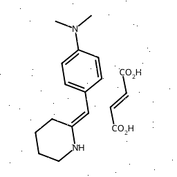 CN(C)c1ccc(C=C2CCCCN2)cc1.O=C(O)C=CC(=O)O